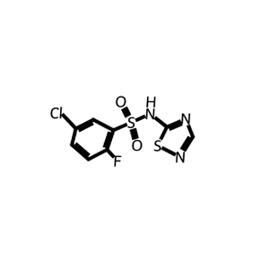 O=S(=O)(Nc1ncns1)c1cc(Cl)ccc1F